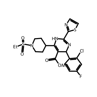 CCS(=O)(=O)N1CCC(C2=C(C(=O)OC)C(c3ccc(F)cc3Cl)N=C(c3nccs3)N2)CC1